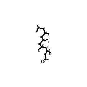 CC(C)CC(C)CC(F)CC(C)CC(C)CC=O